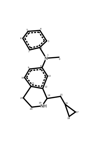 CN(c1ccccc1)c1ccc2c(c1)C(CC1CC1)NCC2